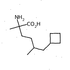 CC(CCC(C)(N)C(=O)O)CC1CCC1